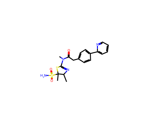 CC1N=C(N(C)C(=O)Cc2ccc(-c3ccccn3)cc2)SC1(C)S(N)(=O)=O